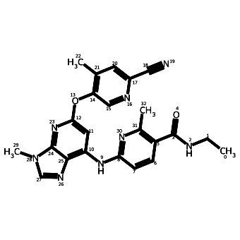 CCNC(=O)c1ccc(Nc2cc(Oc3cnc(C#N)cc3C)nc3c2ncn3C)nc1C